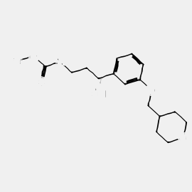 CC(C)(C)OC(=O)NCC[C@@H](O)c1cccc(OCC2CCOCC2)c1